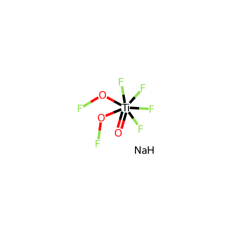 [NaH].[O]=[Ti]([F])([F])([F])([F])([O]F)[O]F